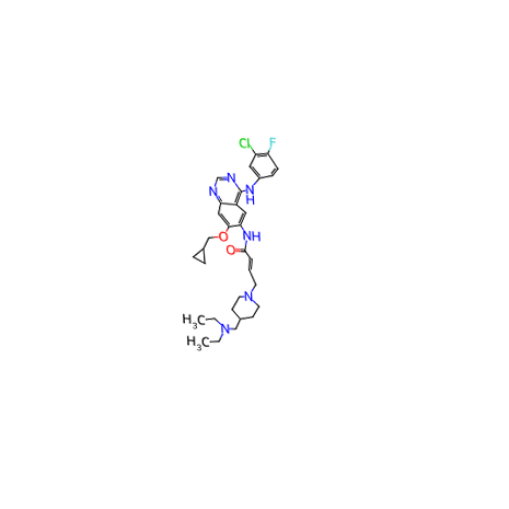 CCN(CC)CC1CCN(CC=CC(=O)Nc2cc3c(Nc4ccc(F)c(Cl)c4)ncnc3cc2OCC2CC2)CC1